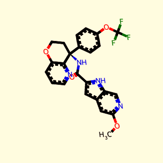 COc1cc2cc(C(=O)N[C@]3(c4ccc(OC(F)(F)F)cc4)CCOc4cccnc43)[nH]c2cn1